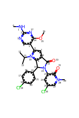 CNc1ncc(-c2cc3c(n2C(C)C)C(c2ccc(Cl)cc2)N(c2cc(Cl)cn(C)c2=O)C3=O)c(OC)n1